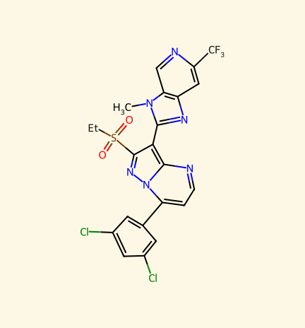 CCS(=O)(=O)c1nn2c(-c3cc(Cl)cc(Cl)c3)ccnc2c1-c1nc2cc(C(F)(F)F)ncc2n1C